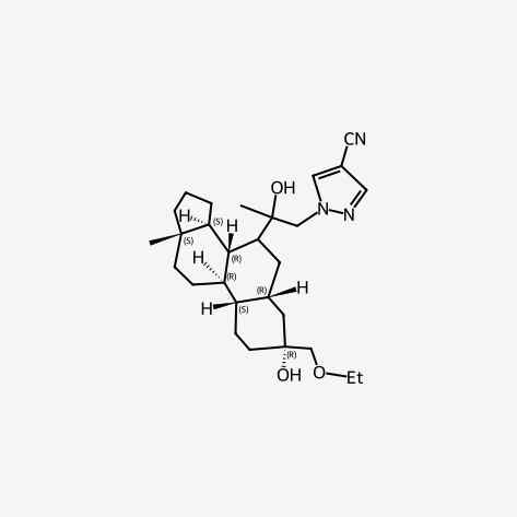 CCOC[C@@]1(O)CC[C@H]2[C@H](CC(C(C)(O)Cn3cc(C#N)cn3)[C@@H]3[C@@H]2CC[C@]2(C)CCC[C@@H]32)C1